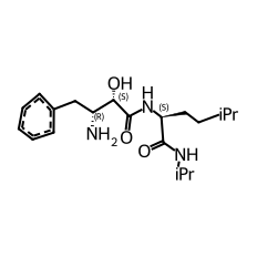 CC(C)CC[C@H](NC(=O)[C@@H](O)[C@H](N)Cc1ccccc1)C(=O)NC(C)C